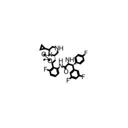 CS(=O)(=O)N1C(C2CC2)CNC[C@@H]1CCc1c(F)cccc1NC(=O)[C@@H](N)[C@@H](c1ccc(F)cc1)c1cc(F)cc(F)c1